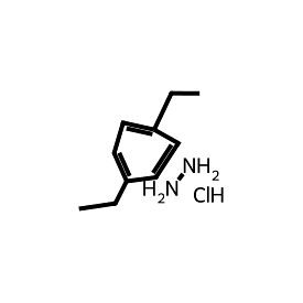 CCc1ccc(CC)cc1.Cl.NN